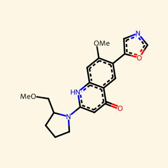 COCC1CCCN1c1cc(=O)c2cc(-c3cnco3)c(OC)cc2[nH]1